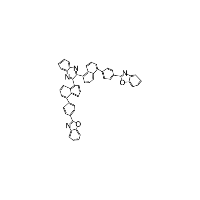 c1ccc2nc(-c3cccc4c(-c5ccc(-c6nc7ccccc7o6)cc5)cccc34)c(-c3cccc4c(-c5ccc(-c6nc7ccccc7o6)cc5)cccc34)nc2c1